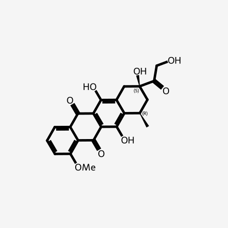 COc1cccc2c1C(=O)c1c(O)c3c(c(O)c1C2=O)C[C@](O)(C(=O)CO)C[C@H]3C